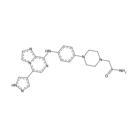 NC(=O)CN1CCN(c2ccc(Nc3ncc(-c4cn[nH]c4)n4ccnc34)cc2)CC1